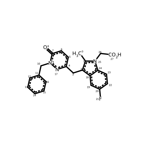 Cc1c(Cc2ccc(=O)n(Cc3ccccc3)n2)c2cc(F)ccc2n1CC(=O)O